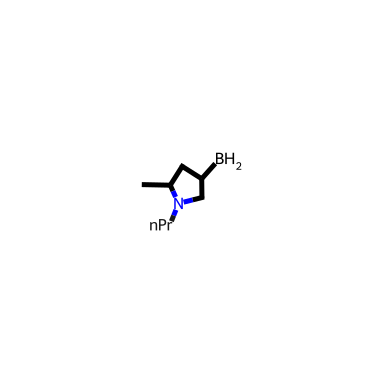 BC1CC(C)N(CCC)C1